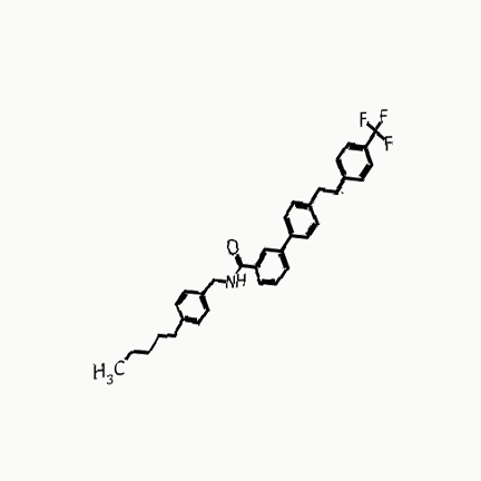 CCCCCc1ccc(CNC(=O)c2cccc(-c3ccc(C[CH]c4ccc(C(F)(F)F)cc4)cc3)c2)cc1